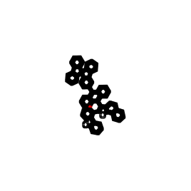 c1ccc2c(c1)-c1ccccc1C21c2ccccc2-c2cc(-c3c4ccccc4c(-c4c(-c5cccc6oc7ccccc7c56)oc5c4ccc4ccccc45)c4ccccc34)ccc21